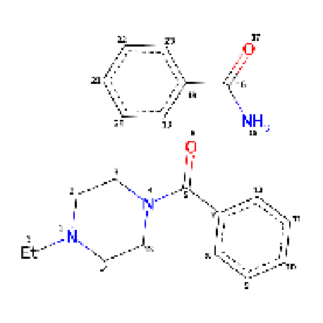 CCN1CCN(C(=O)c2ccccc2)CC1.NC(=O)c1ccccc1